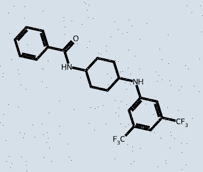 O=C(NC1CCC(Nc2cc(C(F)(F)F)cc(C(F)(F)F)c2)CC1)c1ccccc1